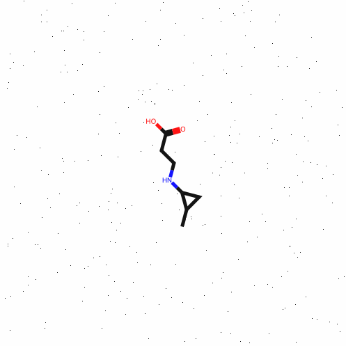 CC1CC1NCCC(=O)O